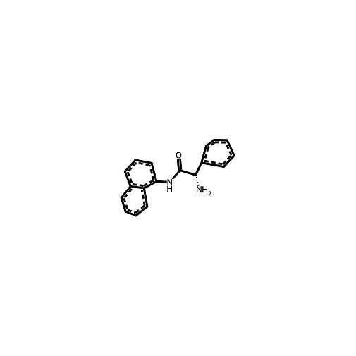 N[C@H](C(=O)Nc1cccc2ccccc12)c1ccccc1